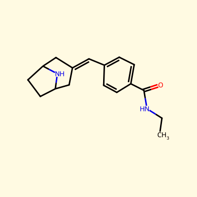 CCNC(=O)c1ccc(C=C2CC3CCC(C2)N3)cc1